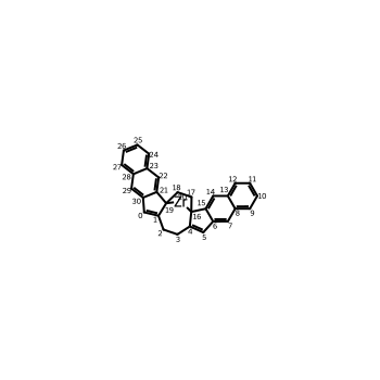 C1=C2CCC3=Cc4cc5ccccc5cc4[C]34CC[C]2([Zr]4)c2cc3ccccc3cc21